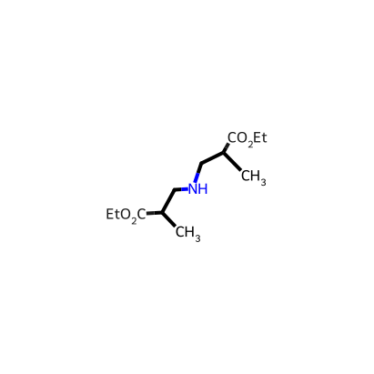 CCOC(=O)C(C)CNCC(C)C(=O)OCC